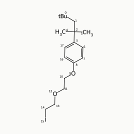 CC(C)(C)CC(C)(C)c1ccc(OCCOCCI)cc1